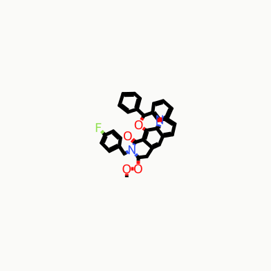 COOC1Cc2cc3cccnc3c(OC(c3ccccc3)c3ccccc3)c2C(=O)N1Cc1ccc(F)cc1